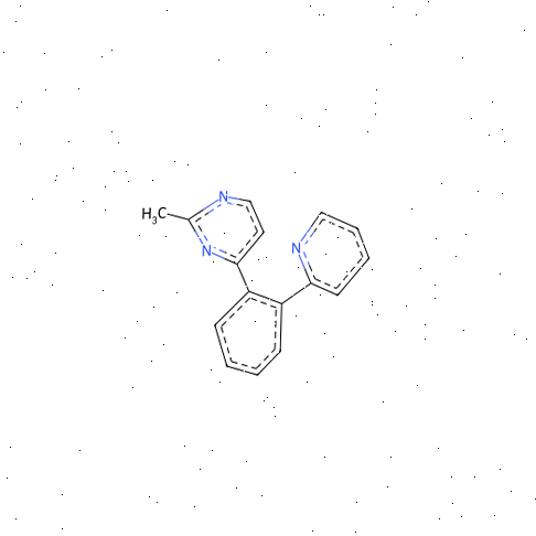 Cc1nccc(-c2ccccc2-c2ccccn2)n1